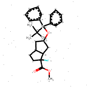 COC(=O)C1(F)CCC2CC(O[Si](c3ccccc3)(c3ccccc3)C(C)(C)C)CC21